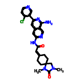 CN1CC2(CCC(=CC(=O)Nc3cc4cc(-c5cnccc5Cl)nc(N)c4cn3)CC2)N(C)C1=O